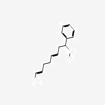 CC=CCCC=CCC(NCCC)c1ccccc1